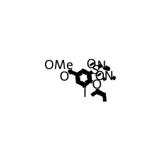 C/C=C(\C)Oc1c(I)cc(C(=O)OC)cc1S(=O)(=O)/N=C\N(C)C